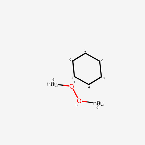 C1CCCCC1.CCCCOOCCCC